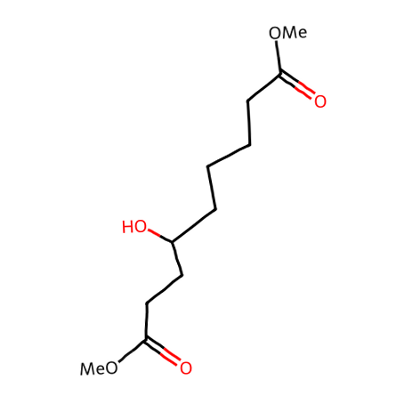 COC(=O)CCCCC(O)CCC(=O)OC